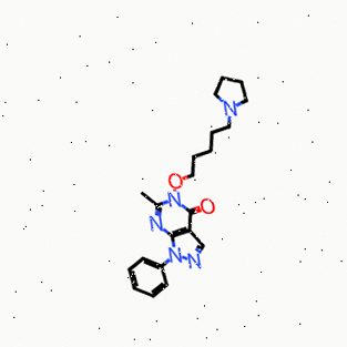 Cc1nc2c(cnn2-c2ccccc2)c(=O)n1OCCCCCN1CCCC1